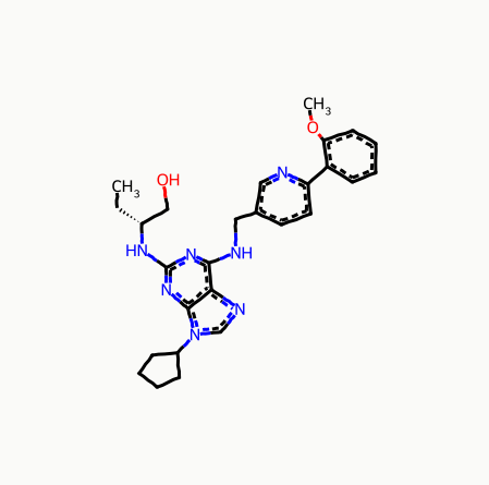 CC[C@H](CO)Nc1nc(NCc2ccc(-c3ccccc3OC)nc2)c2ncn(C3CCCC3)c2n1